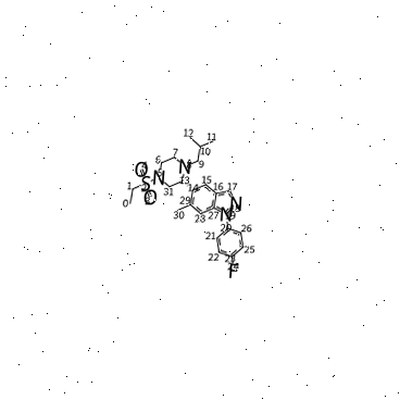 CCS(=O)(=O)N1CCN(CC(C)C)[C@H](c2cc3cnn(-c4ccc(F)cc4)c3cc2C)C1